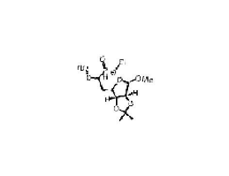 CCCCOC(C[C@H]1O[C@@H](OC)[C@@H]2OC(C)(C)O[C@@H]21)[PH](=O)OCC